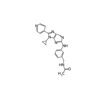 CC(=O)NCc1cccc(Nc2ncc3nc(-c4ccncc4)n(C4CC4)c3n2)c1